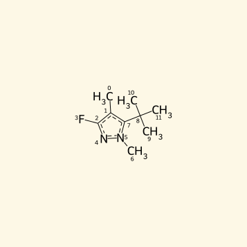 Cc1c(F)nn(C)c1C(C)(C)C